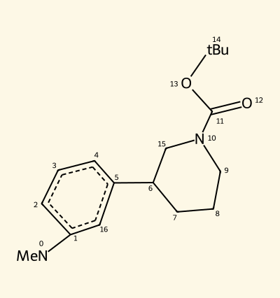 CNc1cccc(C2CCCN(C(=O)OC(C)(C)C)C2)c1